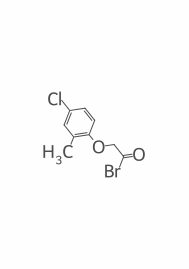 Cc1cc(Cl)ccc1OCC(=O)Br